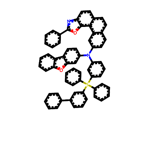 c1ccc(-c2cccc(S(c3ccccc3)(c3ccccc3)c3cccc(N(c4ccc5c(c4)oc4ccccc45)c4ccc5ccc6ccc7nc(-c8ccccc8)oc7c6c5c4)c3)c2)cc1